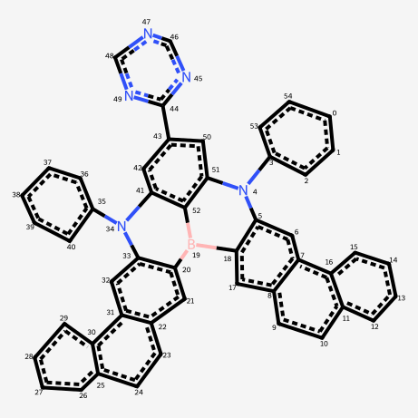 c1ccc(N2c3cc4c(ccc5ccccc54)cc3B3c4cc5ccc6ccccc6c5cc4N(c4ccccc4)c4cc(-c5ncncn5)cc2c43)cc1